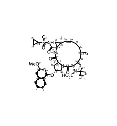 COc1cc2ccccc2c(O[C@@H]2C[C@H]3C(=O)N[C@]4(C(=O)NS(=O)(=O)C5CC5)C[C@H]4C=CCC[C@@H](C)C[C@@H](C)[C@H](N(C(=O)O)C(C)(C)C(F)(F)F)C(=O)N3C2)n1